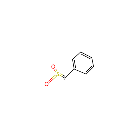 O=S(=O)=[C]c1ccccc1